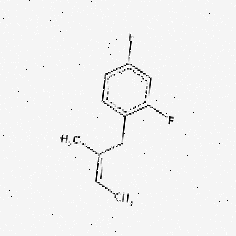 [CH2]/C(=C/C)Cc1ccc(F)cc1F